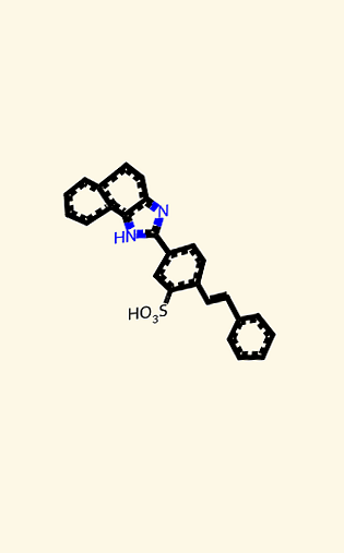 O=S(=O)(O)c1cc(-c2nc3ccc4ccccc4c3[nH]2)ccc1C=Cc1ccccc1